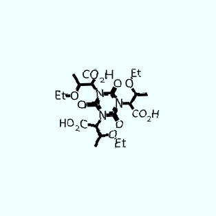 CCOC(C)C(C(=O)O)n1c(=O)n(C(C(=O)O)C(C)OCC)c(=O)n(C(C(=O)O)C(C)OCC)c1=O